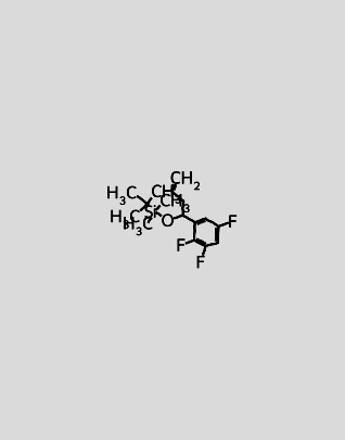 C=CCC(O[Si](C)(C)C(C)(C)C)c1cc(F)cc(F)c1F